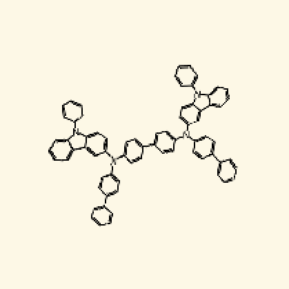 C1=CCC(n2c3ccccc3c3cc(N(c4ccc(-c5ccccc5)cc4)c4ccc(-c5ccc(N(c6ccc(-c7ccccc7)cc6)c6ccc7c(c6)c6ccccc6n7-c6ccccc6)cc5)cc4)ccc32)C=C1